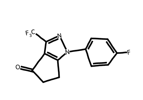 O=C1CCc2c1c(C(F)(F)F)nn2-c1ccc(F)cc1